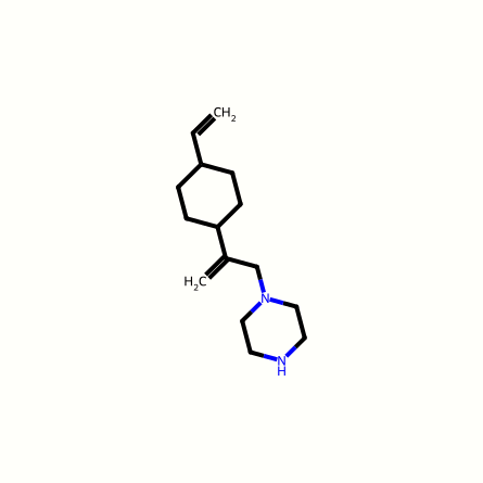 C=CC1CCC(C(=C)CN2CCNCC2)CC1